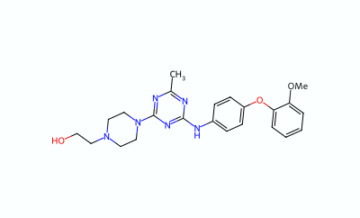 COc1ccccc1Oc1ccc(Nc2nc(C)nc(N3CCN(CCO)CC3)n2)cc1